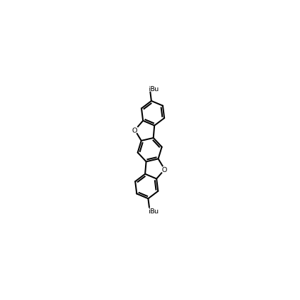 CCC(C)c1ccc2c(c1)oc1cc3c(cc12)oc1cc(C(C)CC)ccc13